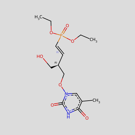 CCOP(=O)(/C=C/[C@H](CO)COn1cc(C)c(=O)[nH]c1=O)OCC